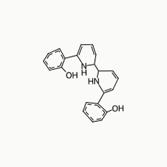 Oc1ccccc1C1=CC=CC(C2C=CC=C(c3ccccc3O)N2)N1